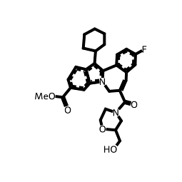 COC(=O)c1ccc2c(C3CCCCC3)c3n(c2c1)CC(C(=O)N1CCOC(CO)C1)=Cc1cc(F)ccc1-3